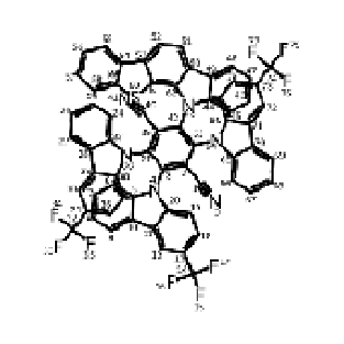 N#Cc1c(-n2c3ccccc3c3cc(C(F)(F)F)ccc32)c(-n2c3ccccc3c3cc(C(F)(F)F)ccc32)c(C#N)c(-n2c3ccccc3c3ccc4c5ccccc5sc4c32)c1-n1c2ccccc2c2cc(C(F)(F)F)ccc21